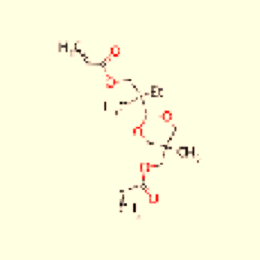 C=CC(=O)OCC1(C)COC(C(C)(CC)COC(=O)C=C)OC1